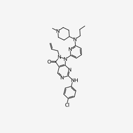 C=CCn1c(=O)c2cnc(Nc3ccc(Cl)cc3)nc2n1-c1cccc(N(CCC)C2CCN(C)CC2)n1